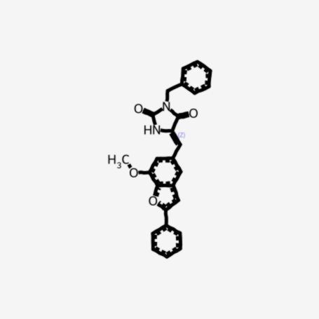 COc1cc(/C=C2\NC(=O)N(Cc3ccccc3)C2=O)cc2cc(-c3ccccc3)oc12